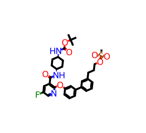 CC(C)(C)OC(=O)N[C@H]1CC[C@H](NC(=O)c2cc(F)cnc2Oc2cccc(-c3cccc(CCCOS(C)(=O)=O)c3)c2)CC1